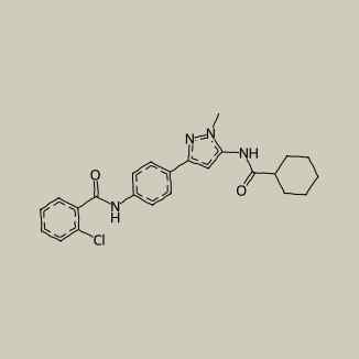 Cn1nc(-c2ccc(NC(=O)c3ccccc3Cl)cc2)cc1NC(=O)C1CCCCC1